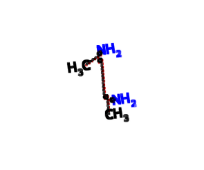 CCCCCCCCC(c1ccc(N)cc1)c1ccc(CCCCCCCCCCCCCCCCCCc2ccc(C(CCCCCCCC)c3ccc(N)cc3)cc2)cc1